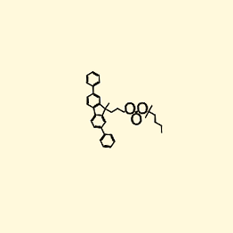 CCCCC(C)(C)OC(=O)OCCCC1(C)c2cc(-c3ccccc3)ccc2-c2ccc(-c3ccccc3)cc21